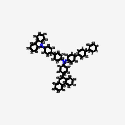 c1ccc(-c2ccc(-c3ccc(N(c4ccc(-c5ccc(-n6c7ccccc7c7ccccc76)cc5)cc4)c4ccc(-c5cc6ccccc6c6ccccc56)cc4)cc3)cc2)cc1